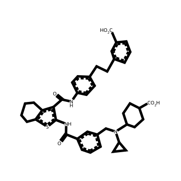 O=C(O)c1cccc(CCc2ccc(NC(=O)c3c(NC(=O)c4cccc(CN(C5CCC(C(=O)O)CC5)C5CC5)c4)sc4c3CCCC4)cc2)c1